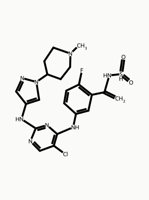 C=C(N[SH](=O)=O)c1cc(Nc2nc(Nc3cnn(C4CCN(C)CC4)c3)ncc2Cl)ccc1F